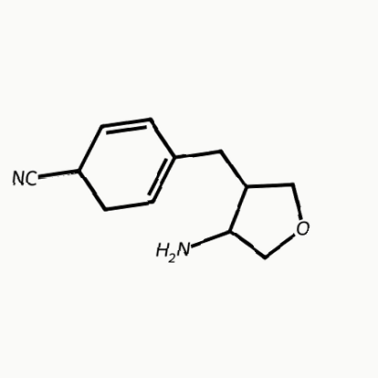 N#CC1C=CC(CC2COCC2N)=CC1